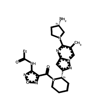 CCC(=O)Nc1nonc1C(=O)N1CCCC[C@H]1c1cc2nc(N3CC[C@H](N)C3)c(C)cn2n1